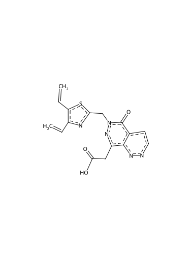 C=Cc1nc(Cn2nc(CC(=O)O)c3nnccc3c2=O)sc1C=C